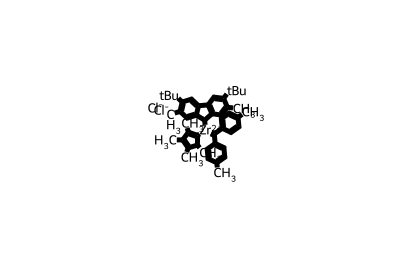 CC1=C(C)C(C)[C]([Zr+2](=[C](c2ccc(C)cc2)c2ccc(C)cc2)[CH]2c3cc(C)c(C(C)(C)C)cc3-c3cc(C(C)(C)C)c(C)cc32)=C1C.[Cl-].[Cl-]